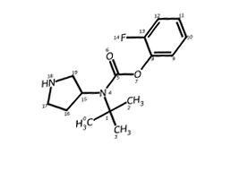 CC(C)(C)N(C(=O)Oc1ccccc1F)C1CCNC1